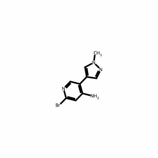 Cn1cc(-c2cnc(Br)cc2N)cn1